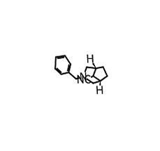 N#CC1[C@@H]2CC[C@H]1CN(Cc1ccccc1)C2